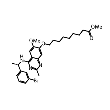 COC(=O)CCCCCCCCOc1cc2nc(C)nc(N[C@H](C)c3cccc(Br)c3)c2cc1OC